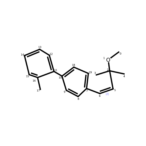 COC(C)(C)/C=C\c1ccc(-c2ccccc2C)cc1